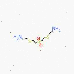 NCCSCCS(=O)(=O)CCSCCN